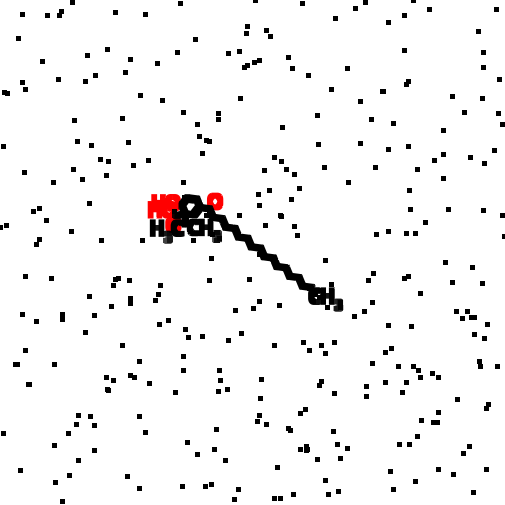 CCCCCCCCCCCCCCCCCC(=O)C1=CC(C(=O)O)(C(C)C)C(O)C=C1